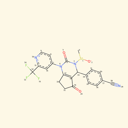 C[S+]([O-])N1C(=O)N(c2ccnc(C(F)(F)F)c2)C2=C(C(=O)CC2)C1c1ccc(C#N)cc1